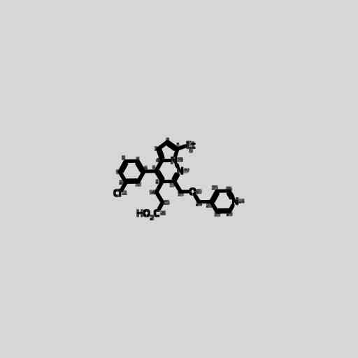 CCc1ccc2c(-c3cccc(Cl)c3)c(CCC(=O)O)c(COCc3ccncc3)nn12